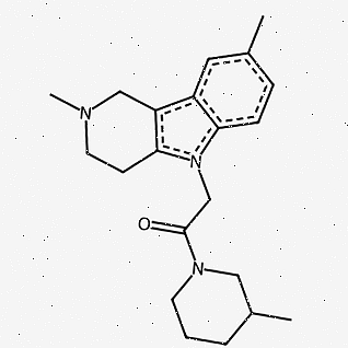 Cc1ccc2c(c1)c1c(n2CC(=O)N2CCCC(C)C2)CCN(C)C1